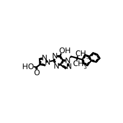 CC(C)(Cn1ncc2nc(-n3cc(C(=O)O)cn3)nc(O)c21)c1ccc2ccccc2c1